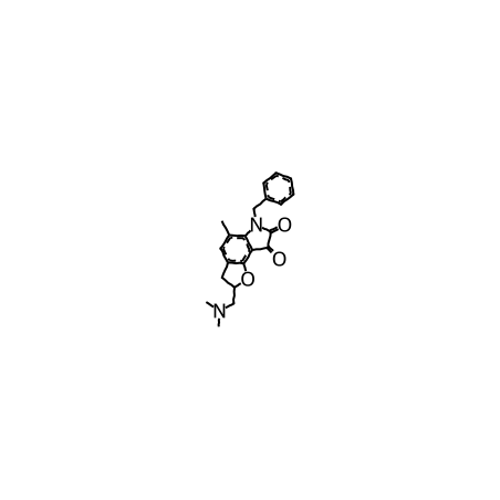 Cc1cc2c(c3c1N(Cc1ccccc1)C(=O)C3=O)OC(CN(C)C)C2